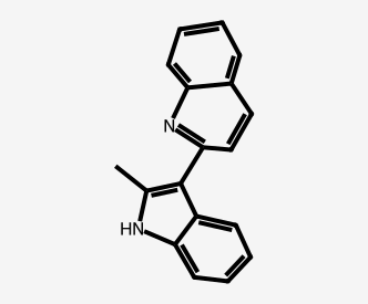 Cc1[nH]c2ccccc2c1-c1ccc2ccccc2n1